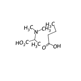 CC(C(=O)O)N(C)C.CCCC(=O)O